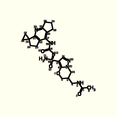 CC(=O)NCC1COc2c(S(N)(=O)=NC(=O)Nc3c4c(nc5c3CCC53CC3)CCC4)cnn2C1